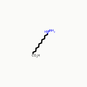 NNCCCCCCCCCCC(=O)O